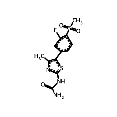 Cc1nc(NC(N)=O)sc1-c1ccc(S(C)(=O)=O)c(F)c1